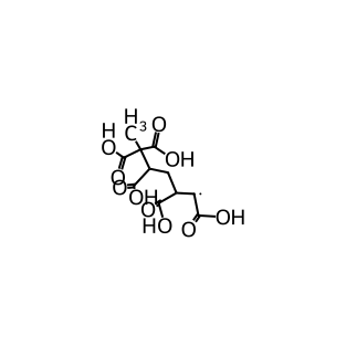 CC(C(=O)O)(C(=O)O)C(CC([CH]C(=O)O)C(=O)O)C(=O)O